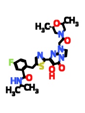 CC(C)NC(=O)c1cc(F)ccc1Cc1cnc(-c2nc3n(CC(=O)N4C[C@H](C)O[C@@H](C)C4)ccn3c(=O)c2O)s1